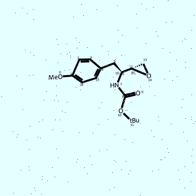 COc1ccc(C[C@H](NC(=O)OC(C)(C)C)[C@@H]2CO2)cc1